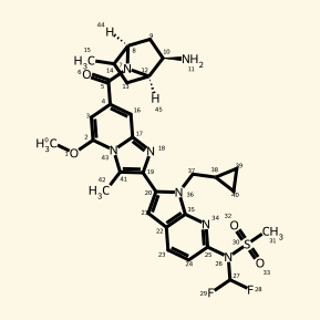 COc1cc(C(=O)N2[C@@H]3C[C@@H](N)[C@H]2CC3C)cc2nc(-c3cc4ccc(N(C(F)F)S(C)(=O)=O)nc4n3CC3CC3)c(C)n12